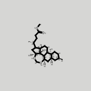 COC(=O)CC[C@@H](C)C1C[C@@H]2OCO[C@@H]3C[C@@H]4C[C@H](C)CC[C@]4(C)C4CC[C@@]1(C)[C@@H]2C43